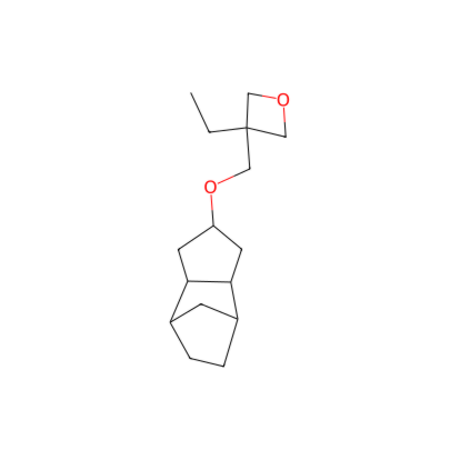 CCC1(COC2CC3C4CCC(C4)C3C2)COC1